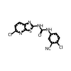 N#Cc1cc(NC(=O)Nc2nc3ccc(Cl)nc3s2)ccc1Cl